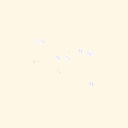 CN(C)C(=O)Cc1cc(Oc2nc(S(C)(=O)=O)nc(OC(CCC(N)=O)C(=O)O)c2[N+](=O)[O-])cc(-c2ncc[nH]2)c1